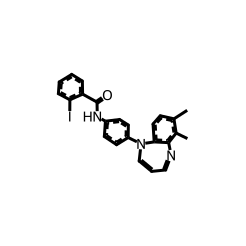 Cc1ccc2c(c1C)N=CC=CN2c1ccc(NC(=O)c2ccccc2I)cc1